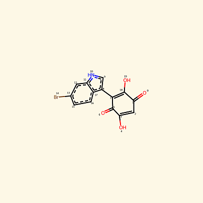 O=C1C=C(O)C(=O)C(c2c[nH]c3cc(Br)ccc23)=C1O